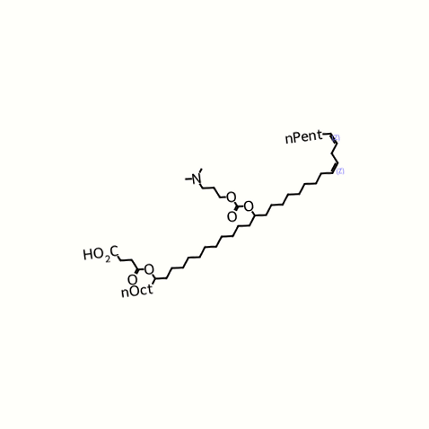 CCCCC/C=C\C/C=C\CCCCCCCCC(CCCCCCCCCCCC(CCCCCCCC)OC(=O)CCC(=O)O)OC(=O)OCCCN(C)C